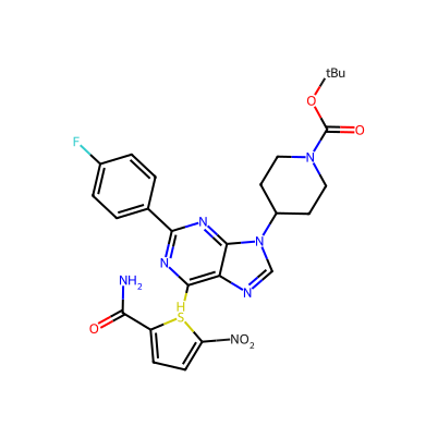 CC(C)(C)OC(=O)N1CCC(n2cnc3c([SH]4C(C(N)=O)=CC=C4[N+](=O)[O-])nc(-c4ccc(F)cc4)nc32)CC1